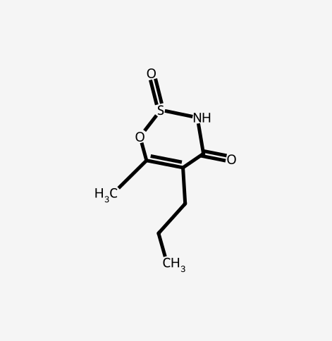 CCCC1=C(C)OS(=O)NC1=O